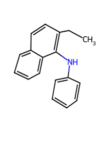 CCc1ccc2ccccc2c1Nc1ccccc1